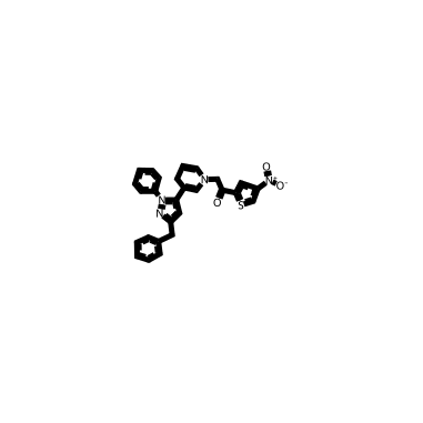 O=C(CN1C=CCC(c2cc(Cc3ccccc3)nn2-c2ccccc2)=C1)c1cc([N+](=O)[O-])cs1